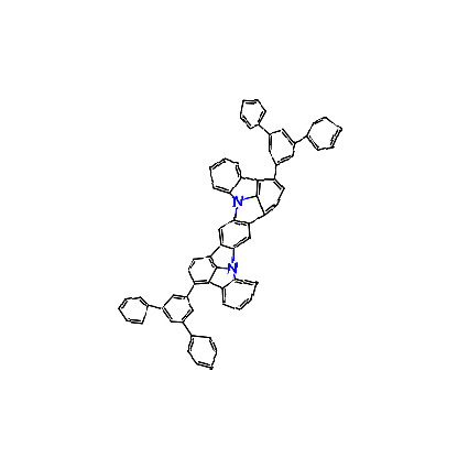 c1ccc(-c2cc(-c3ccccc3)cc(-c3ccc4c5cc6c(cc5n5c7ccccc7c3c45)c3ccc(-c4cc(-c5ccccc5)cc(-c5ccccc5)c4)c4c5ccccc5n6c34)c2)cc1